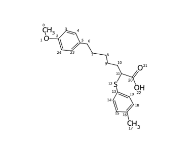 COc1ccc(CCCCCC(Sc2ccc(C)cc2)C(=O)O)cc1